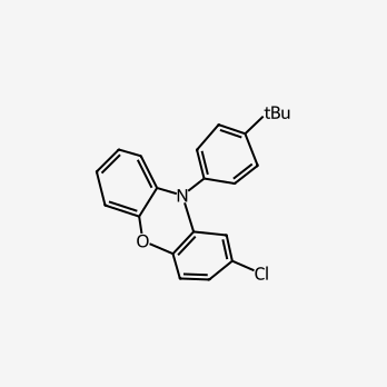 CC(C)(C)c1ccc(N2c3ccccc3Oc3ccc(Cl)cc32)cc1